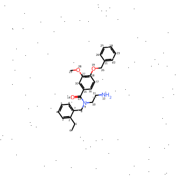 CCc1ccccc1CN(CCN)C(=O)c1ccc(OCc2ccccc2)c(OC)c1